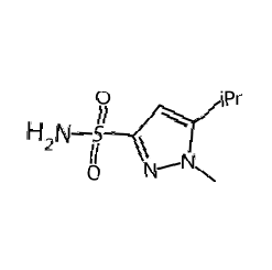 CC(C)c1cc(S(N)(=O)=O)nn1C